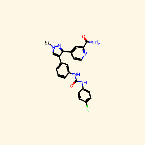 CCn1cc(-c2cccc(NC(=O)Nc3ccc(Cl)cc3)c2)c(-c2ccnc(C(N)=O)c2)n1